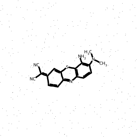 CN(C)c1ccc2c(c1N)Sc1cc(=C(C#N)C#N)ccc1=N2